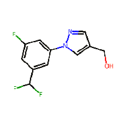 OCc1cnn(-c2cc(F)cc(C(F)F)c2)c1